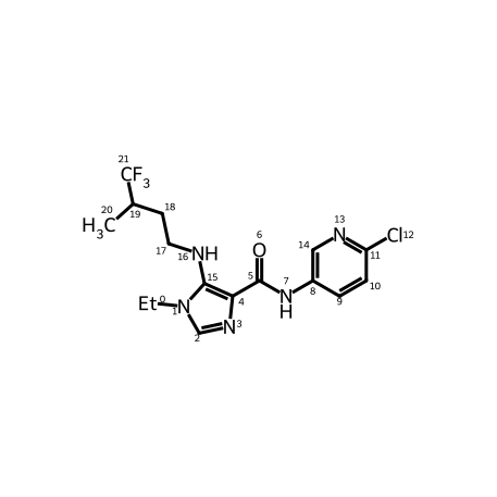 CCn1cnc(C(=O)Nc2ccc(Cl)nc2)c1NCCC(C)C(F)(F)F